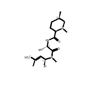 C/C(=C\[C@H](C(C)C)N(C)C(=O)[C@@H](NC(=O)C1CC[C@@H](C)CN1C)C(C)(C)C)C(=O)O